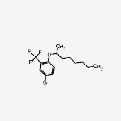 CCCCCC[C@@H](C)Oc1ccc(Br)cc1C(F)(F)F